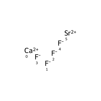 [Ca+2].[F-].[F-].[F-].[F-].[Sr+2]